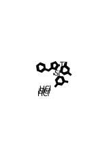 Cc1cc(C)cc([Si](C)(C2=[C]([Ti])CC=C2Cc2ccccc2)c2cc(C)cc(C)c2)c1.Cl.Cl.Cl